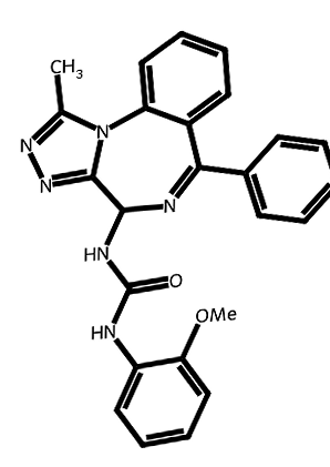 COc1ccccc1NC(=O)NC1N=C(c2ccccc2)c2ccccc2-n2c(C)nnc21